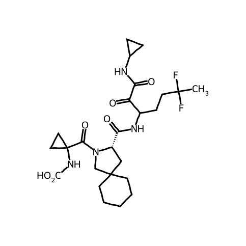 CC(F)(F)CCC(NC(=O)[C@@H]1CC2(CCCCC2)CN1C(=O)C1(NC(=O)O)CC1)C(=O)C(=O)NC1CC1